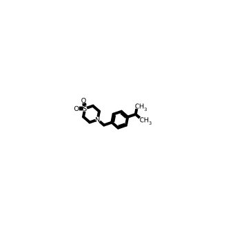 CC(C)c1ccc(CN2CCS(=O)(=O)CC2)cc1